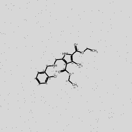 CCOC(=O)c1[nH]c(CNCc2ccccc2Cl)c(C(=O)OCC)c1C